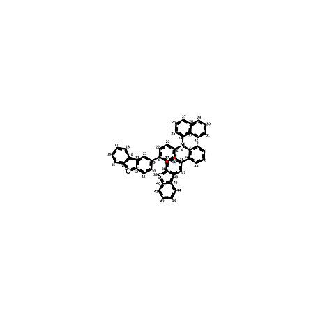 c1ccc(N(c2ccc(-c3ccc4oc5ccccc5c4c3)cc2)c2cccc3ccccc23)c(-c2ccc3sc4ccccc4c3c2)c1